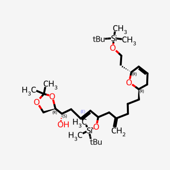 C=C(CCC[C@@H]1CC=C[C@@H](CCO[Si](C)(C)C(C)(C)C)O1)CC(/C=C/C[C@H](O)[C@H]1COC(C)(C)O1)O[Si](C)(C)C(C)(C)C